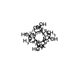 CCC1CN(CC(=O)O)C(CC)CN(CC(=O)O)C(CC)CN(CC(=O)O)C(CC)CN1CC(=O)O